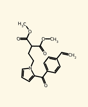 C=Cc1ccc(C(=O)c2cccn2CCC(C(=O)OC)C(=O)OC)cc1